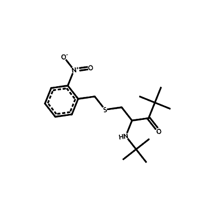 CC(C)(C)NC(CSCc1ccccc1[N+](=O)[O-])C(=O)C(C)(C)C